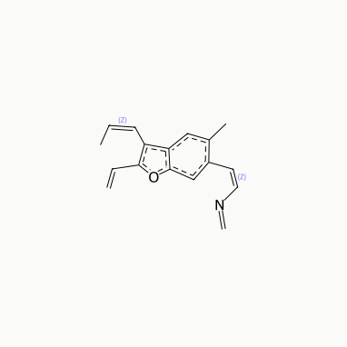 C=Cc1oc2cc(/C=C\N=C)c(C)cc2c1/C=C\C